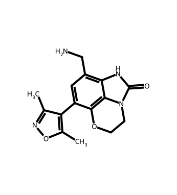 Cc1noc(C)c1-c1cc(CN)c2[nH]c(=O)n3c2c1OCC3